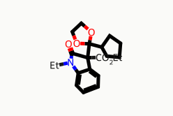 CCOC(=O)C1(C2(C3CCCC3)OCCO2)C(=O)N(CC)c2ccccc21